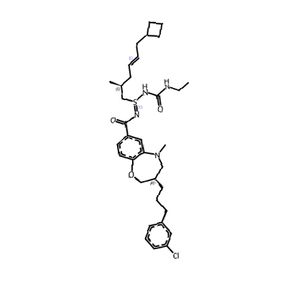 CCNC(=O)N/S(C[C@@H](C)C/C=C/CC1CCC1)=N/C(=O)c1ccc2c(c1)N(C)C[C@@H](CCCc1cccc(Cl)c1)CO2